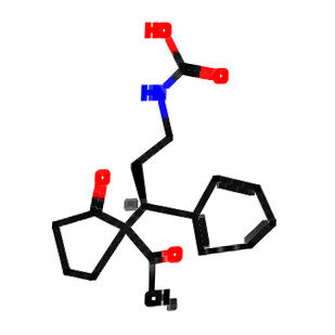 CC(=O)C1([C@@H](CCNC(=O)O)c2ccccc2)CCCC1=O